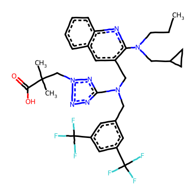 CCCN(CC1CC1)c1nc2ccccc2cc1CN(Cc1cc(C(F)(F)F)cc(C(F)(F)F)c1)c1nnn(CC(C)(C)C(=O)O)n1